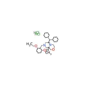 CCOc1cccc(OC)c1CN1C[C@@H]2COCCN2[C@H](C(c2ccccc2)c2ccccc2)C1.Cl.Cl